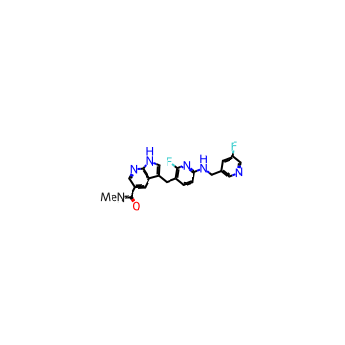 CNC(=O)c1cnc2[nH]cc(Cc3ccc(NCc4cncc(F)c4)nc3F)c2c1